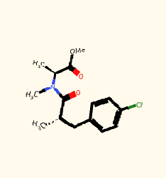 COC(=O)[C@H](C)N(C)C(=O)[C@@H](C)Cc1ccc(Cl)cc1